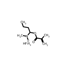 C=C(C)C(=O)OC(CCC)N(C)C.F